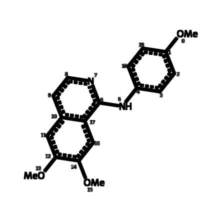 COc1ccc(Nc2nccc3cc(OC)c(OC)cc23)cc1